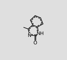 Cc1nc(=O)[nH]c2ccccc12